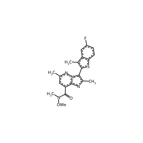 CON(C)C(=O)c1cc(C)nn2c(-c3sc4ccc(F)cc4c3C)c(C)nc12